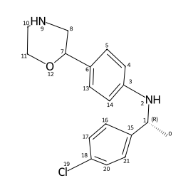 C[C@@H](Nc1ccc(C2CNCCO2)cc1)c1ccc(Cl)cc1